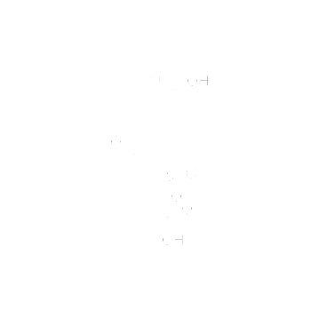 O=C(O)c1ccc2c(c1)C(=O)c1cccc(C(=O)O)c1S2(=O)=O